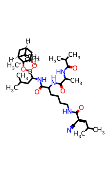 CC(C)C=C(C#N)C(=O)NCCCCC(NC(=O)C(C)NC(=O)C(C)C)C(=O)NC(CC(C)C)B1O[C@@H]2C[C@@H]3C[C@@H](C3(C)C)[C@]2(C)O1